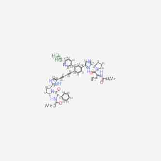 COC(=O)NC(C(=O)N1CCCC1c1ncc(C#CC#Cc2ccc(-c3cnc(C4CCCN4C(=O)[C@@H](NC(=O)OC)C(C)C)[nH]3)cc2-c2cccnc2)[nH]1)c1ccccc1.Cl.Cl.Cl